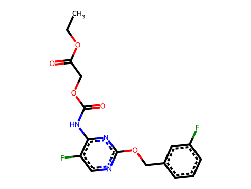 CCOC(=O)COC(=O)Nc1nc(OCc2cccc(F)c2)ncc1F